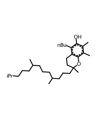 CCCCc1c(O)c(C)c(C)c2c1CCC(C)(CCCC(C)CCCC(C)CCCC(C)C)O2